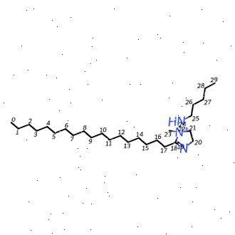 CCCCCCCCCCCCCCCCCCC1=NCC[N+]1(C)NCCCCC